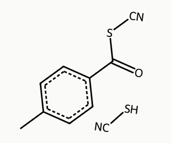 Cc1ccc(C(=O)SC#N)cc1.N#CS